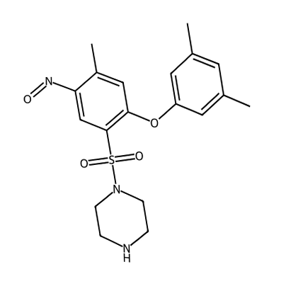 Cc1cc(C)cc(Oc2cc(C)c(N=O)cc2S(=O)(=O)N2CCNCC2)c1